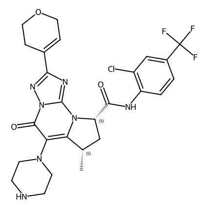 C[C@H]1C[C@@H](C(=O)Nc2ccc(C(F)(F)F)cc2Cl)n2c1c(N1CCNCC1)c(=O)n1nc(C3=CCOCC3)nc21